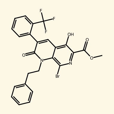 COC(=O)c1nc(Br)c2c(cc(-c3ccccc3C(F)(F)F)c(=O)n2CCc2ccccc2)c1O